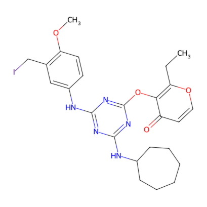 CCc1occc(=O)c1Oc1nc(Nc2ccc(OC)c(CI)c2)nc(NC2CCCCCC2)n1